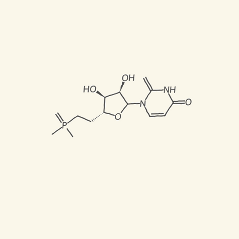 C=C1NC(=O)C=CN1C1O[C@H](CCP(=C)(C)C)[C@@H](O)[C@H]1O